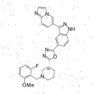 COc1cccc(F)c1CN1CCC[C@@H](c2nnc(-c3ccc4[nH]nc(-c5ccc6nccn6c5)c4c3)o2)C1